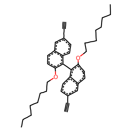 C#Cc1ccc2c(-c3c(OCCCCCCCC)ccc4cc(C#C)ccc34)c(OCCCCCCCC)ccc2c1